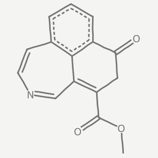 COC(=O)C1=C2C=NC=Cc3cccc(c32)C(=O)C1